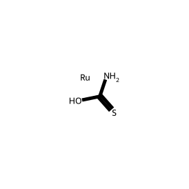 NC(O)=S.[Ru]